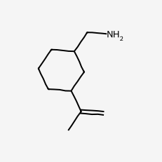 C=C(C)C1CCCC(CN)C1